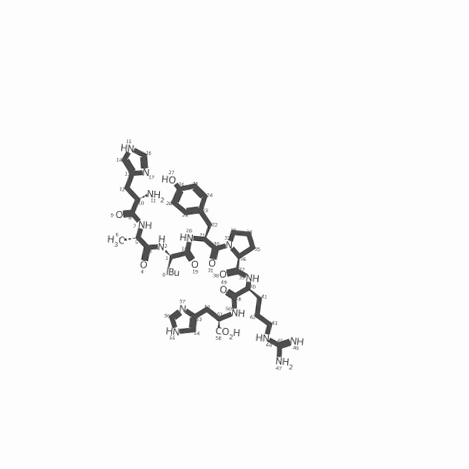 CC[C@H](C)[C@H](NC(=O)[C@H](C)NC(=O)[C@@H](N)Cc1c[nH]cn1)C(=O)N[C@@H](Cc1ccc(O)cc1)C(=O)N1CCC[C@H]1C(=O)N[C@@H](CCCNC(=N)N)C(=O)N[C@@H](Cc1c[nH]cn1)C(=O)O